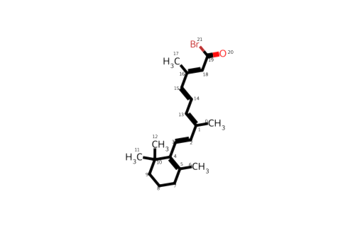 CC(C=CC1=C(C)CCCC1(C)C)=CC=CC(C)=CC(=O)Br